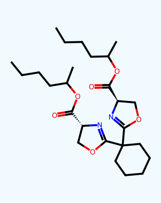 CCCCC(C)OC(=O)[C@H]1COC(C2(C3=N[C@@H](C(=O)OC(C)CCCC)CO3)CCCCC2)=N1